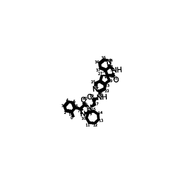 Cc1ccccc1C1=NC2(CCCCCC2)N(CC(=O)Nc2cc3c(cn2)C[C@]2(C3)C(=O)Nc3ncccc32)C1=O